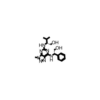 CC(C)[C@H](CO)Nc1nc(N[C@H](CO)c2ccccc2)c2nnn(C)c2n1